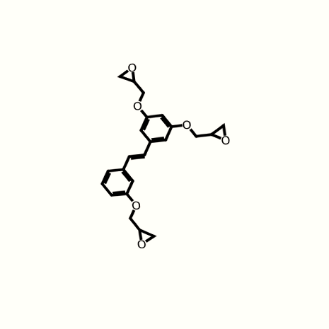 C(=C\c1cc(OCC2CO2)cc(OCC2CO2)c1)/c1cccc(OCC2CO2)c1